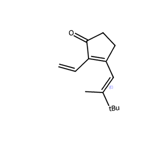 C=CC1=C(/C=C(\C)C(C)(C)C)CCC1=O